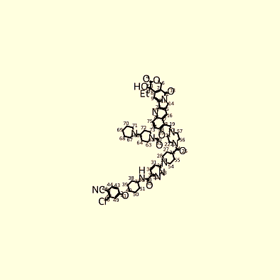 CC[C@@]1(O)C(=O)OCc2c1cc1n(c2=O)Cc2cc3c(CN4CCN(C(=O)C5CCN(c6ccc(C(=O)NC7CCC(Oc8ccc(C#N)c(Cl)c8)CC7)nn6)CC5)CC4)c(OC(=O)N4CCC(N5CCCCC5)CC4)ccc3nc2-1